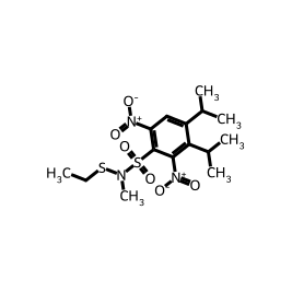 CCSN(C)S(=O)(=O)c1c([N+](=O)[O-])cc(C(C)C)c(C(C)C)c1[N+](=O)[O-]